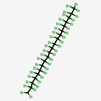 BrC(Br)C(Br)(Br)C(Br)(Br)C(Br)(Br)C(Br)(Br)C(Br)(Br)C(Br)(Br)C(Br)(Br)C(Br)(Br)C(Br)(Br)C(Br)(Br)C(Br)(Br)C(Br)(Br)C(Br)(Br)C(Br)(Br)C(Br)(Br)C(Br)(Br)C(Br)(Br)C(Br)(Br)C(Br)(Br)Br